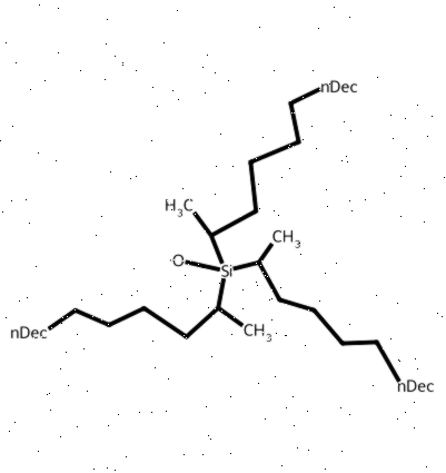 CCCCCCCCCCCCCCC(C)[Si]([O])(C(C)CCCCCCCCCCCCCC)C(C)CCCCCCCCCCCCCC